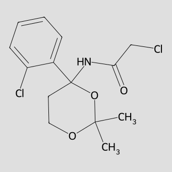 CC1(C)OCCC(NC(=O)CCl)(c2ccccc2Cl)O1